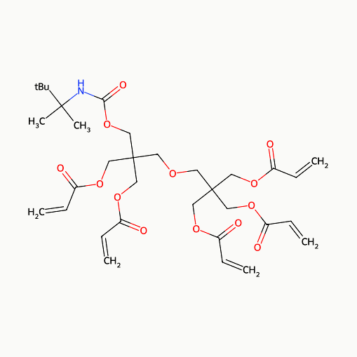 C=CC(=O)OCC(COCC(COC(=O)C=C)(COC(=O)C=C)COC(=O)NC(C)(C)C(C)(C)C)(COC(=O)C=C)COC(=O)C=C